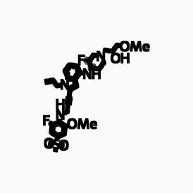 C=CCn1c(C#CCNc2c(F)cc(S(C)(=O)=O)cc2OC)cc2c(N[C@H]3CCN(CC(O)COC)C[C@H]3F)cccc21